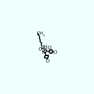 CCCCCCCCNC(=O)n1nc(-c2ccc(Cl)cc2)c(-c2ccc(Cl)cc2Cl)n1